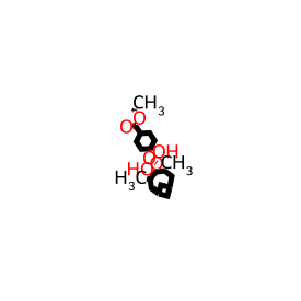 CCOC(=O)C1CCC(O)(OOC2(O)C(C)C=C3CC(C3)CC2C)CC1